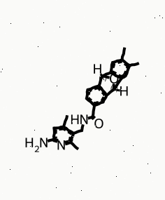 Cc1cc2c(cc1C)[C@H]1O[C@@H]2c2ccc(C(=O)NCc3c(C)cc(N)nc3C)cc21